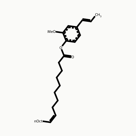 CC=Cc1ccc(OC(=O)CCCCCCC/C=C\CCCCCCCC)c(OC)c1